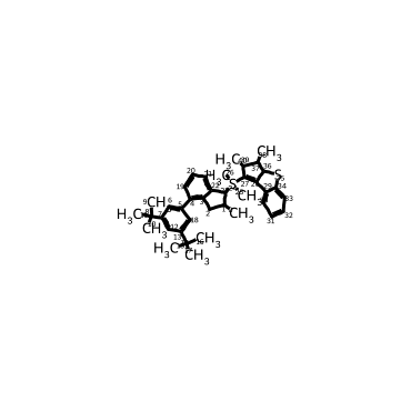 CC1Cc2c(-c3cc(C(C)(C)C)cc(C(C)(C)C)c3)cccc2C1S(C)(C)C1=C2c3ccccc3SC2C(C)C1C